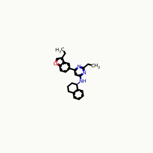 CCc1nc(N[C@@H]2CCCc3ccccc32)cc(-c2ccc3occ(CC)c3c2)n1